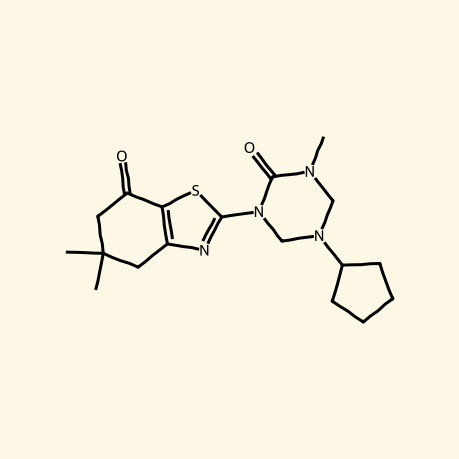 CN1CN(C2CCCC2)CN(c2nc3c(s2)C(=O)CC(C)(C)C3)C1=O